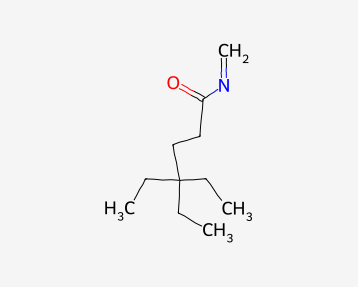 C=NC(=O)CCC(CC)(CC)CC